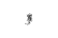 CCOC(=O)C(F)(F)Cc1c(Br)cccc1C(F)(F)F